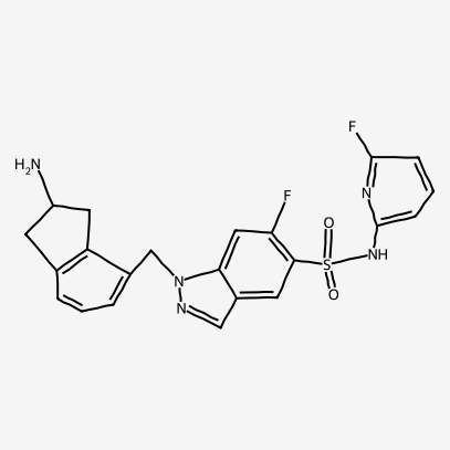 NC1Cc2cccc(Cn3ncc4cc(S(=O)(=O)Nc5cccc(F)n5)c(F)cc43)c2C1